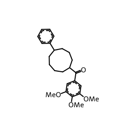 COc1cc(C(=O)C2CCCCC(c3ccccc3)CCC2)cc(OC)c1OC